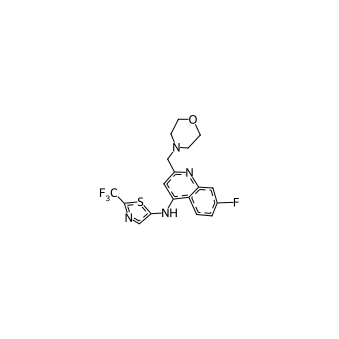 Fc1ccc2c(Nc3cnc(C(F)(F)F)s3)cc(CN3CCOCC3)nc2c1